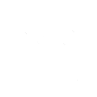 CC(O)CN1CCSC1=NC(=O)c1cn(COCC[Si](C)(C)C)c2ncccc12